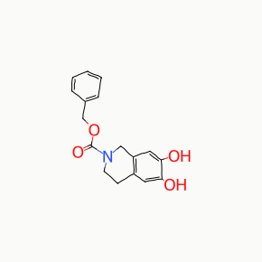 O=C(OCc1ccccc1)N1CCc2cc(O)c(O)cc2C1